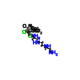 NCCNCCNCCN.O=C([O-])C(Cl)Cl.O=[N+]([O-])[Co+][N+](=O)[O-]